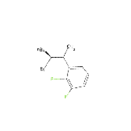 CCCC[C@H](CC)C(C)c1cccc(F)c1F